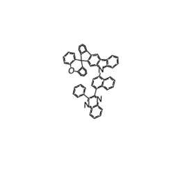 c1ccc(-c2nc3ccccc3nc2-c2ccc(-n3c4ccccc4c4cc5c(cc43)C3(c4ccccc4Oc4ccccc43)c3ccccc3-5)c3ccccc23)cc1